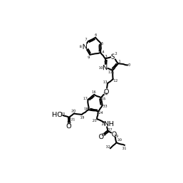 Cc1sc(-c2cccnc2)nc1CCOc1ccc(CCC(=O)O)c(CNC(=O)OC(C)C)c1